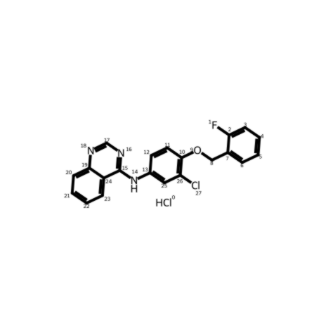 Cl.Fc1ccccc1COc1ccc(Nc2ncnc3ccccc23)cc1Cl